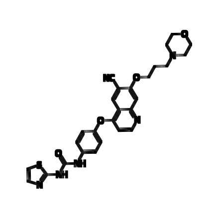 N#Cc1cc2c(Oc3ccc(NC(=O)Nc4nccs4)cc3)ccnc2cc1OCCCN1CCOCC1